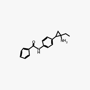 CCC1(N)CC1c1ccc(NC(=O)c2ccccc2)cc1